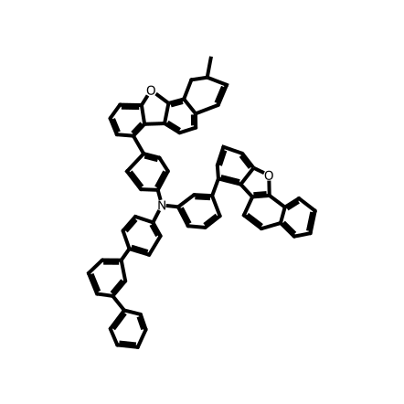 CC1C=Cc2ccc3c(oc4cccc(-c5ccc(N(c6ccc(-c7cccc(-c8ccccc8)c7)cc6)c6cccc(-c7cccc8oc9c%10ccccc%10ccc9c78)c6)cc5)c43)c2C1